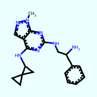 Cn1ncc2c(NC3CC34CC4)nc(NCC(N)c3ccccc3)nc21